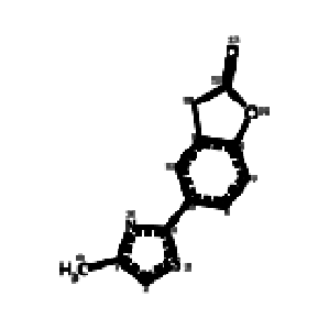 Cc1csc(-c2ccc3c(c2)CC(=O)O3)n1